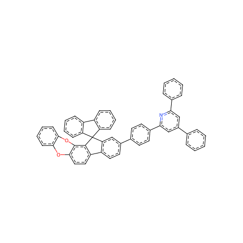 c1ccc(-c2cc(-c3ccccc3)nc(-c3ccc(-c4ccc5c(c4)C4(c6ccccc6-c6ccccc64)c4c-5ccc5c4Oc4ccccc4O5)cc3)c2)cc1